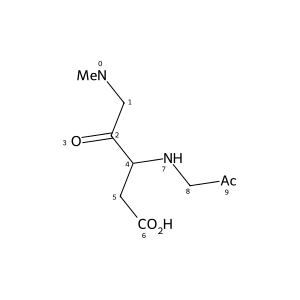 CNCC(=O)C(CC(=O)O)NCC(C)=O